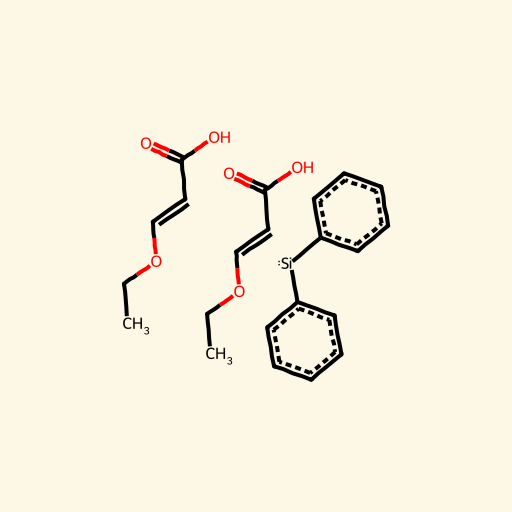 CCOC=CC(=O)O.CCOC=CC(=O)O.c1ccc([Si]c2ccccc2)cc1